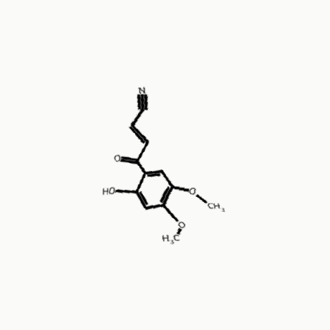 COc1cc(O)c(C(=O)/C=C/C#N)cc1OC